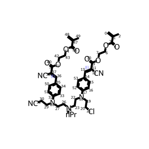 C=C(C)C(=O)OCCOC(=O)/C(C#N)=C/c1ccc(N(CCCl)CCN(CCC)CCN(CCC#N)c2ccc(/C=C(\C#N)C(=O)OCCOC(=O)C(=C)C)cc2)cc1